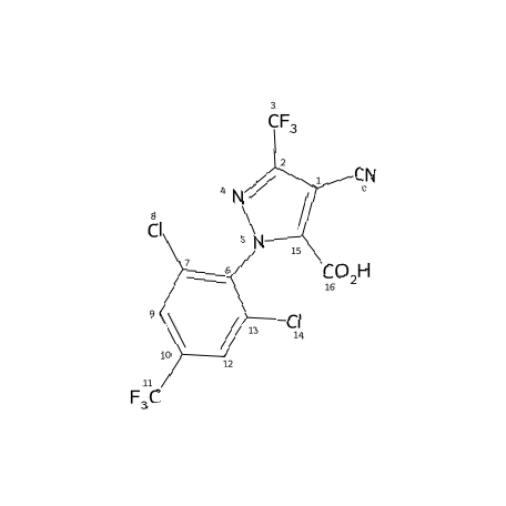 N#Cc1c(C(F)(F)F)nn(-c2c(Cl)cc(C(F)(F)F)cc2Cl)c1C(=O)O